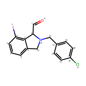 O=CC1c2c(I)cccc2CN1Cc1ccc(Cl)cc1